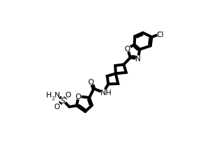 NS(=O)(=O)Cc1ccc(C(=O)NC2CC3(C2)CC(c2nc4cc(Cl)ccc4o2)C3)o1